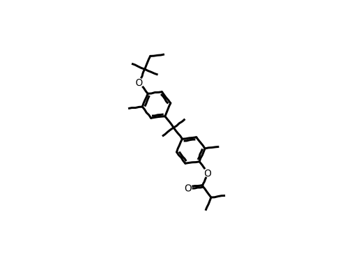 CCC(C)(C)Oc1ccc(C(C)(C)c2ccc(OC(=O)C(C)C)c(C)c2)cc1C